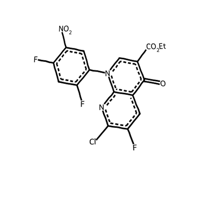 CCOC(=O)c1cn(-c2cc([N+](=O)[O-])c(F)cc2F)c2nc(Cl)c(F)cc2c1=O